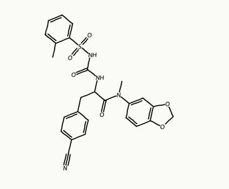 Cc1ccccc1S(=O)(=O)NC(=O)NC(Cc1ccc(C#N)cc1)C(=O)N(C)c1ccc2c(c1)OCO2